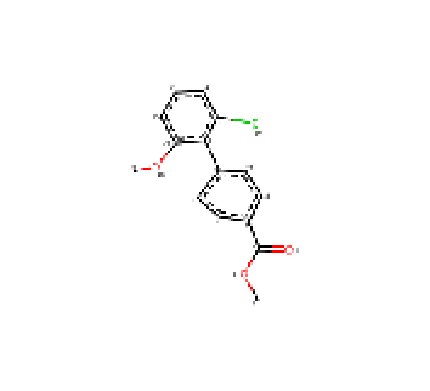 COC(=O)c1ccc(-c2c(Cl)cccc2OC)cc1